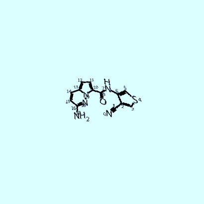 N#Cc1cscc1NC(=O)c1ccc2ccc(N)nn12